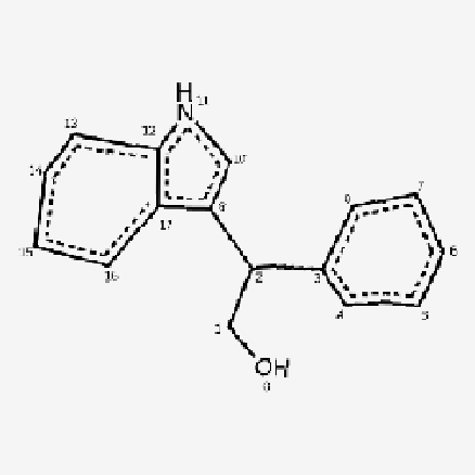 OCC(c1ccccc1)c1c[nH]c2ccccc12